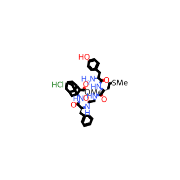 COC(=O)C1C2CC3CC(C2)CC1(NC(=O)[C@H](Cc1ccccc1)NC(=O)CNC(=O)[C@@H](CCSC)NC(=O)[C@@H](N)Cc1ccc(O)cc1)C3.Cl